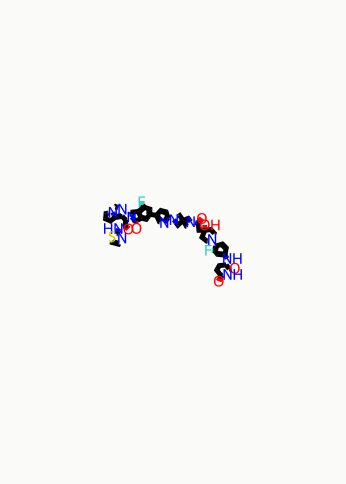 O=C1CCC(Nc2ccc(N3CCC(O)(CC(=O)N4CC5(C4)CN(c4ccc(-c6cc(F)c7c(c6)C(=O)N(C(C(=O)Nc6nccs6)c6ncn8c6CCC8)C7)cn4)C5)CC3)c(F)c2)C(=O)N1